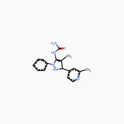 CC1=C(NC(N)=O)N(c2ccccc2)NC1c1ccnc(C)c1